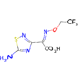 Nc1nc(C(=NOCC(F)(F)F)C(=O)O)ns1